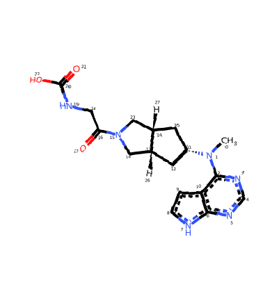 CN(c1ncnc2[nH]ccc12)[C@@H]1C[C@@H]2CN(C(=O)CNC(=O)O)C[C@@H]2C1